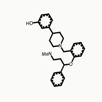 CNCCC(Oc1ccccc1CN1CCC(c2cccc(O)c2)CC1)c1ccccc1